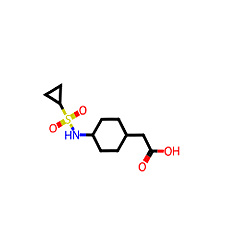 O=C(O)CC1CCC(NS(=O)(=O)C2CC2)CC1